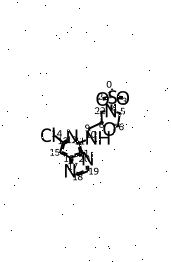 CS(=O)(=O)N1CCOC(CNc2nc(Cl)cc3nccnc23)C1